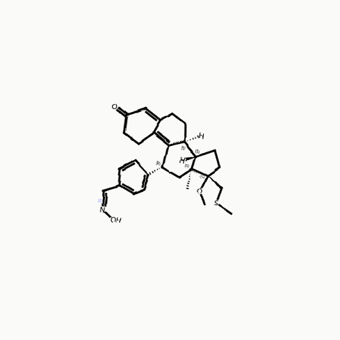 CO[C@@]1(CSC)CC[C@H]2[C@@H]3CCC4=CC(=O)CCC4=C3[C@@H](c3ccc(/C=N\O)cc3)C[C@@]21C